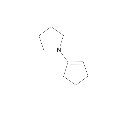 CC1CC=C(N2CCCC2)C1